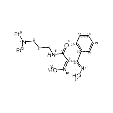 CCN(CC)CCCNC(=O)C(=N\O)/C(=N\O)c1ccccc1